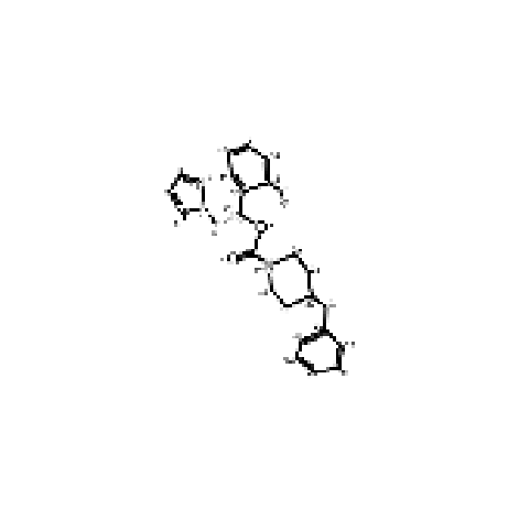 O=C(O[C@H](Cn1nccn1)c1ccccc1Cl)N1CCC(Cc2ccccc2)CC1